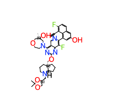 C#Cc1c(F)ccc2cc(O)cc(-c3ncc4c(N5CCOC[C@@](C)(O)C5)nc(OC[C@]56CCC[C@H]5N(C[C@H]5COC(C)(C)O5)CCC6)nc4c3F)c12